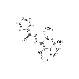 COC1=CC(O)(OC)CC(OC)=C1C=CC(=O)c1ccccc1